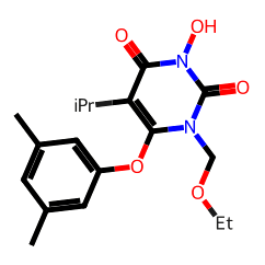 CCOCn1c(Oc2cc(C)cc(C)c2)c(C(C)C)c(=O)n(O)c1=O